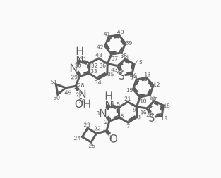 O=C(c1n[nH]c2c1C=CC(c1ccccc1)(c1cccs1)C2)C1CCC1.ON=C(c1n[nH]c2c1C=CC(c1ccccc1)(c1cccs1)C2)C1CC1